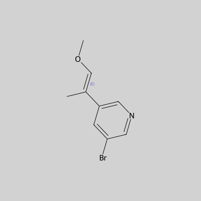 CO/C=C(\C)c1cncc(Br)c1